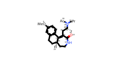 COc1ccc2c(c1)CC[C@@H]1CCNC(=O)C(C[C@@H](C)N(C(C)=O)C(C)C)=C21